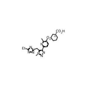 CCc1nnn(Cc2c(-c3ccc(O[C@H]4CCC[C@H](C(=O)O)C4)c(C)n3)nnn2C)n1